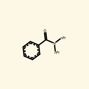 CCCN(CCC)C(=O)c1[c]cccc1